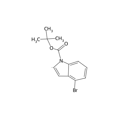 CC(C)(C)OC(=O)n1[c]cc2c(Br)cccc21